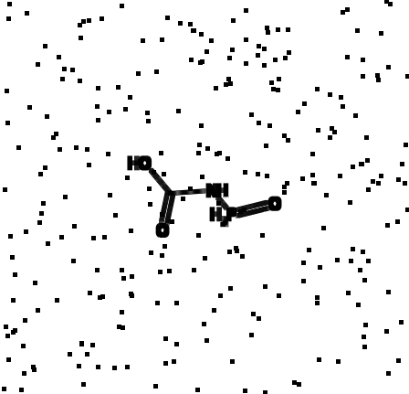 O=[PH2]NC(=O)O